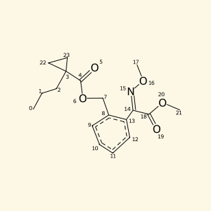 CCCC1(C(=O)OCc2ccccc2C(=NOC)C(=O)OC)CC1